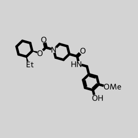 CC[C@H]1CCCC[C@H]1OC(=O)N1CCC(C(=O)NCc2ccc(O)c(OC)c2)CC1